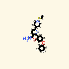 C=CSN1CCC(c2ccc(C(N)=O)c(-c3ccc(Oc4ccccc4)cc3)n2)CC1